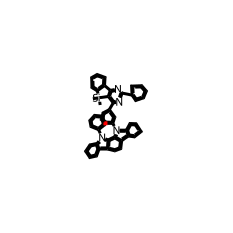 C[Si]1(C)c2ccccc2-c2nc(-c3ccccc3)nc(-c3cccc(-n4c5ccccc5c5ccc6c7ccccc7n(-c7ccccc7)c6c54)c3)c21